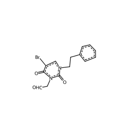 O=CCn1c(=O)c(Br)cn(CCc2ccccc2)c1=O